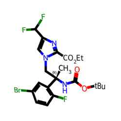 CCOC(=O)c1nc(C(F)F)cn1C[C@](C)(NC(=O)OC(C)(C)C)c1cc(Br)ccc1F